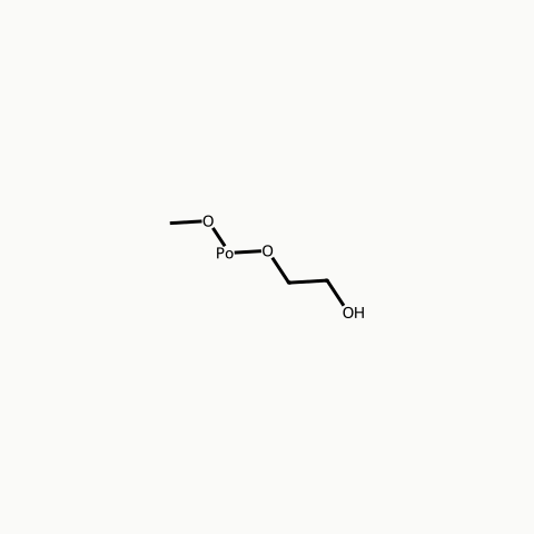 C[O][Po][O]CCO